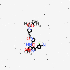 COC(=O)CC(NC(=O)[C@@H]1CCCN(C(=O)CCC2CCN(C(=O)OC(C)(C)C)CC2)C1)c1cncc(-c2ccc(C#N)c(F)c2)c1